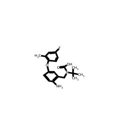 Cc1cc(F)ccc1Oc1ccc(N)c(CN(C(=O)O)C(C)(C)C)c1